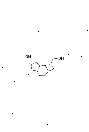 OCC1CC2CCC3CC(CO)C3C2C1